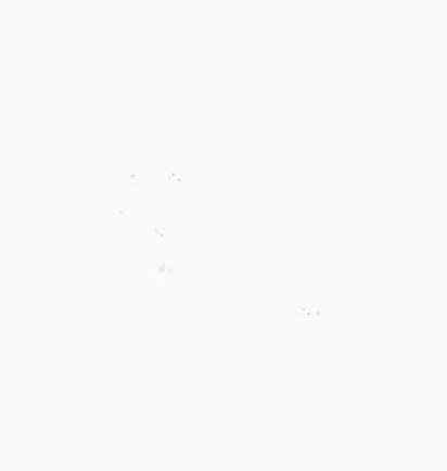 CCCCCCCCCCCCCc1n(C(C)C)cc[n+]1CCC